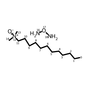 CCCCCCCCCCCC[N+](C)(C)[O-].NON